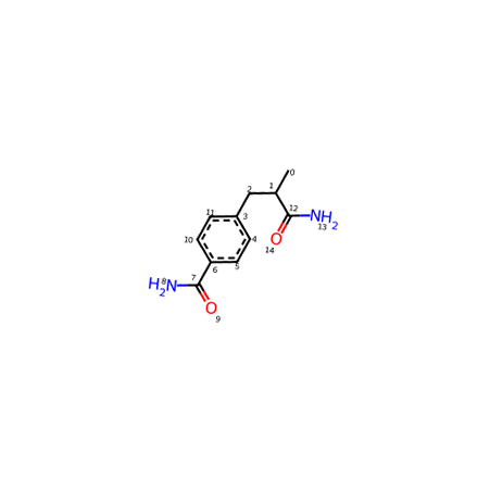 CC(Cc1ccc(C(N)=O)cc1)C(N)=O